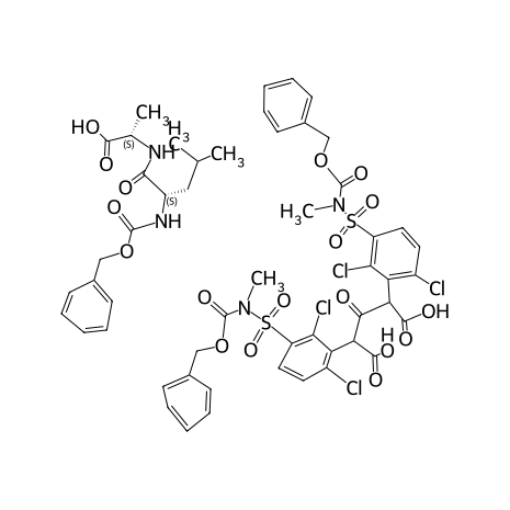 CC(C)C[C@H](NC(=O)OCc1ccccc1)C(=O)N[C@@H](C)C(=O)O.CN(C(=O)OCc1ccccc1)S(=O)(=O)c1ccc(Cl)c(C(C(=O)O)C(=O)C(C(=O)O)c2c(Cl)ccc(S(=O)(=O)N(C)C(=O)OCc3ccccc3)c2Cl)c1Cl